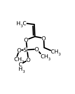 CC=C(OCC)O[Si](OC)(OC)OC